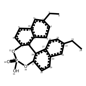 CCc1ccc2c3c(ccc2c1)OP(=O)(O)Oc1ccc2cc(CC)ccc2c1-3